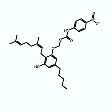 CCCCCc1cc(O)c(CC=C(C)CCC=C(C)C)c(OCOC(=O)Nc2ccc([N+](=O)[O-])cc2)c1